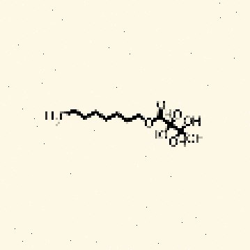 CCCCCCCCOC(=O)C(O)(O)C(O)(O)O